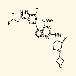 COc1nc(N[C@H]2CCN(C3COC3)C[C@@H]2F)nn2ccc(-c3cc(F)c4nnn(CC(F)F)c4c3)c12